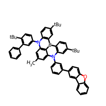 Cc1cc2c3c(c1)N(c1cccc(-c4ccc5oc6ccccc6c5c4)c1)c1cc(C(C)(C)C)ccc1B3c1cc(C(C)(C)C)ccc1N2c1ccc(C(C)(C)C)c(-c2ccccc2)c1